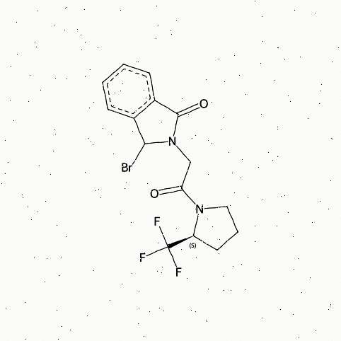 O=C1c2ccccc2C(Br)N1CC(=O)N1CCC[C@H]1C(F)(F)F